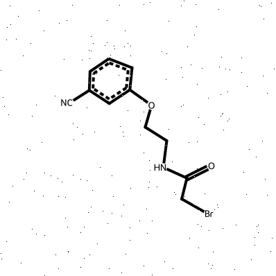 N#Cc1cccc(OCCNC(=O)CBr)c1